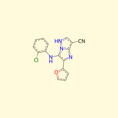 N#Cc1c[nH]n2c(Nc3ccccc3Cl)c(-c3ccco3)nc12